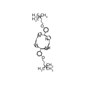 C[N+](C)(C)CCCOc1cccc(/C2=C3\C=CC(=N3)/C=c3/cc/c([nH]3)=C(\c3cccc(OCCC[N+](C)(C)C)c3)C3=N/C(=C\C4C5C=C2N54)C=C3)c1